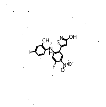 Cc1cc(I)ccc1Nc1cc(F)c([N+](=O)[O-])cc1-c1cc(O)ns1